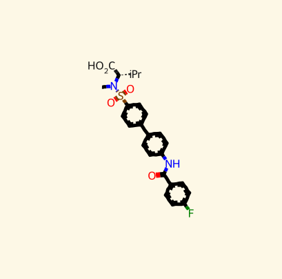 CC(C)[C@@H](C(=O)O)N(C)S(=O)(=O)c1ccc(-c2ccc(NC(=O)c3ccc(F)cc3)cc2)cc1